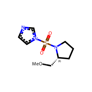 COC[C@H]1CCCN1S(=O)(=O)n1ccnc1